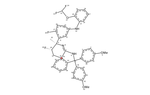 COc1ccc(C(NC2=N[C@](C)(c3cc(Nc4ccccc4OC(F)F)ccc3F)[C@@H](F)CO2)(c2ccccc2)c2ccc(OC)cc2)cc1